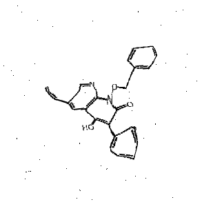 C=Cc1cnc2c(c1)c(O)c(-c1ccccc1)c(=O)n2OCc1ccccc1